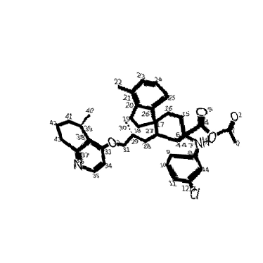 CC(=O)OC(=O)C1(Nc2cccc(Cl)c2)CCC2(CCc3c(C)cccc32)C(C[C@@H](C)COc2ccnc3c2[C@H](C)CCC3)C1